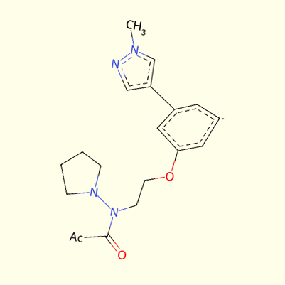 CC(=O)C(=O)N(CCOc1c[c]cc(-c2cnn(C)c2)c1)N1CCCC1